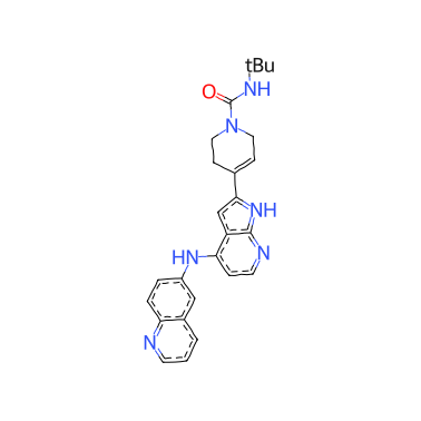 CC(C)(C)NC(=O)N1CC=C(c2cc3c(Nc4ccc5ncccc5c4)ccnc3[nH]2)CC1